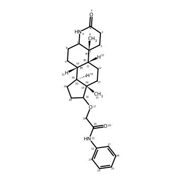 C[C@]12CCC(=O)NC1CC[C@@H]1[C@H]2CC[C@]2(C)C(OCC(=O)Nc3ccccc3)CC[C@@H]12